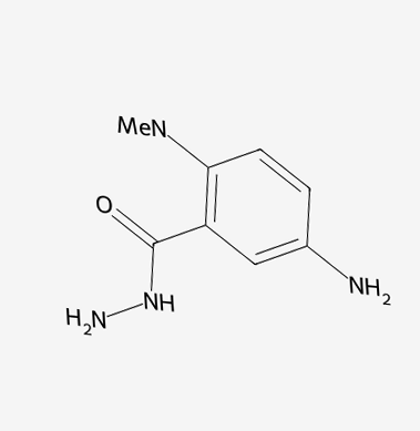 CNc1ccc(N)cc1C(=O)NN